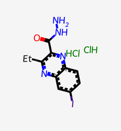 CCc1nc2cc(I)ccc2nc1C(=O)NN.Cl.Cl